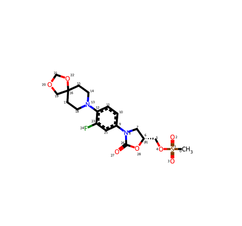 CS(=O)(=O)OC[C@H]1CN(c2ccc(N3CCC4(CC3)COCO4)c(F)c2)C(=O)O1